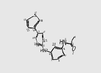 CC(=O)Nc1cccc(Nc2ncc(-c3ccsc3)cn2)c1